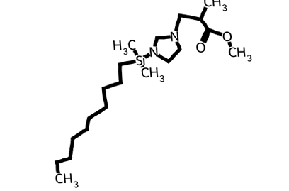 CCCCCCCCCC[Si](C)(C)N1CCN(CC(C)C(=O)OC)C1